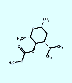 COC(=O)O[C@H]1[C@H](C)O[C@H](C)C[C@@H]1N(C)C